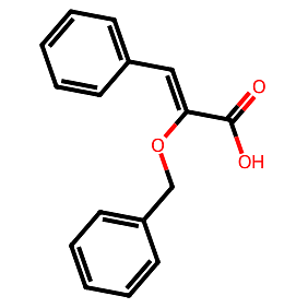 O=C(O)C(=Cc1ccccc1)OCc1ccccc1